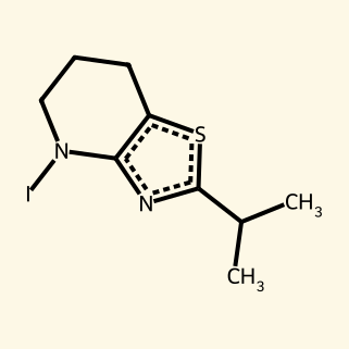 CC(C)c1nc2c(s1)CCCN2I